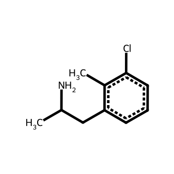 Cc1c(Cl)cccc1CC(C)N